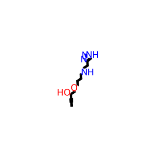 CC#CC(O)COCCCCNCCc1c[nH]nn1